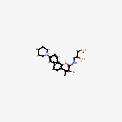 CC(=C(C#N)C(=O)NCC(O)CO)c1ccc2cc(N3CCCCC3)ccc2c1